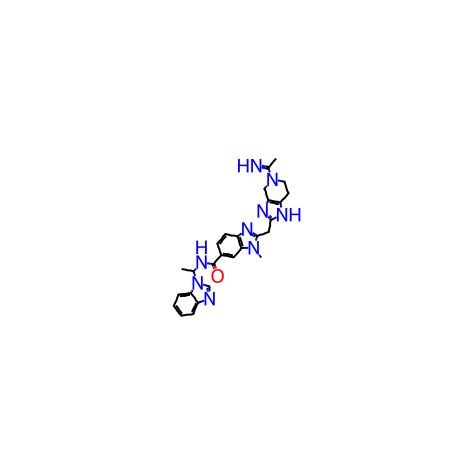 CC(=N)N1CCc2[nH]c(Cc3nc4ccc(C(=O)NC(C)n5cnc6ccccc65)cc4n3C)nc2C1